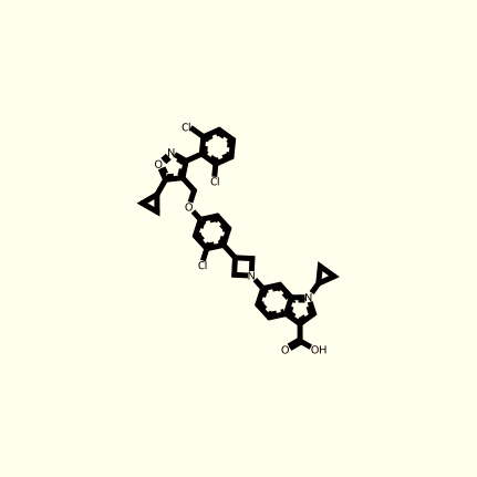 O=C(O)c1cn(C2CC2)c2cc(N3CC(c4ccc(OCc5c(-c6c(Cl)cccc6Cl)noc5C5CC5)cc4Cl)C3)ccc12